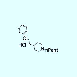 CCCCCN1CCC(CCOc2ccccc2)CC1.Cl